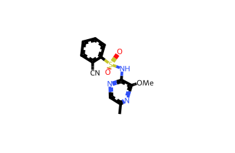 COc1nc(C)cnc1NS(=O)(=O)c1ccccc1C#N